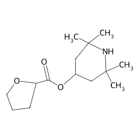 CC1(C)CC(OC(=O)C2CCCO2)CC(C)(C)N1